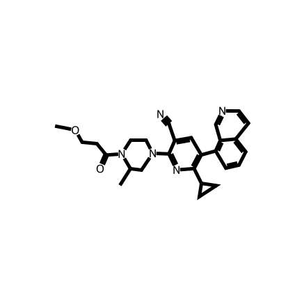 COCCC(=O)N1CCN(c2nc(C3CC3)c(-c3cccc4ccncc34)cc2C#N)CC1C